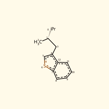 CC(C)[C@@H](C)Cc1csc2ccccc12